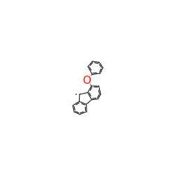 [CH]1c2ccccc2-c2cccc(Oc3ccccc3)c21